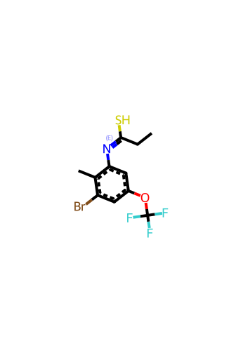 CC/C(S)=N\c1cc(OC(F)(F)F)cc(Br)c1C